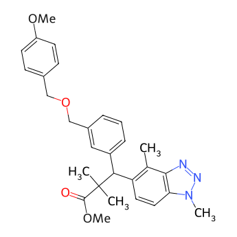 COC(=O)C(C)(C)C(c1cccc(COCc2ccc(OC)cc2)c1)c1ccc2c(nnn2C)c1C